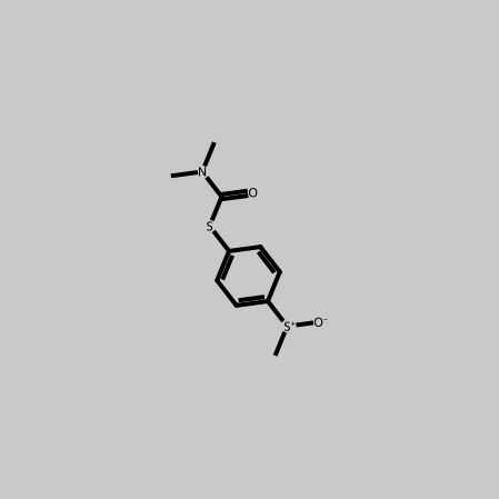 CN(C)C(=O)Sc1ccc([S+](C)[O-])cc1